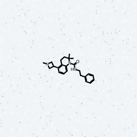 CN1CC(c2cccc3c2CCC(C)(C)N3C(=O)NCCc2ccccc2)C1